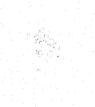 COc1cc(N2CCC3(CC2)CN(C)C3)c(-c2cnn(C)c2)cc1Nc1ncc(Cl)c(Nc2ccc(C)c(C)c2P(C)(C)=O)n1